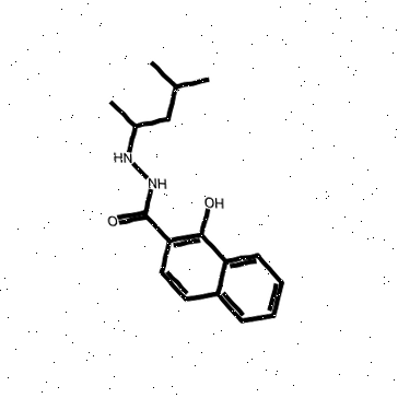 CC(C)CC(C)NNC(=O)c1ccc2ccccc2c1O